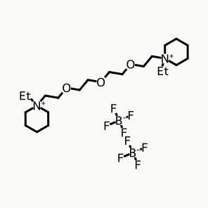 CC[N+]1(CCOCCOCCOCC[N+]2(CC)CCCCC2)CCCCC1.F[B-](F)(F)F.F[B-](F)(F)F